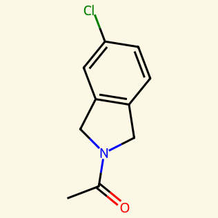 CC(=O)N1Cc2ccc(Cl)cc2C1